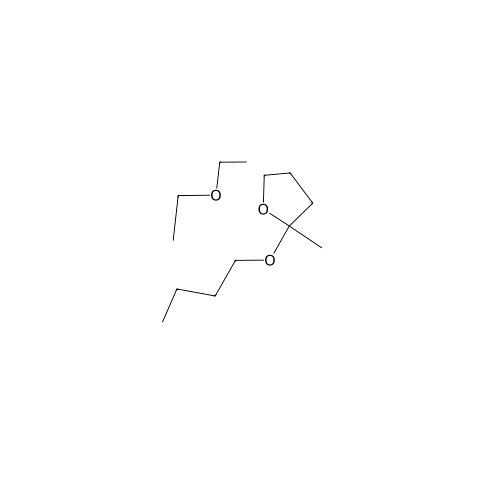 CCCCOC1(C)CCCO1.CCOCC